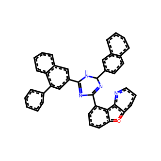 c1ccc(-c2cc(C3=NC(c4cccc5oc6cccnc6c45)=NC(c4ccc5ccccc5c4)N3)cc3ccccc23)cc1